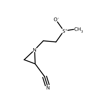 C[S+]([O-])CCN1CC1C#N